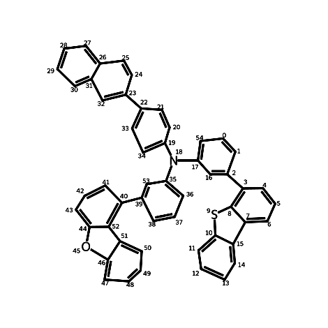 c1cc(-c2cccc3c2sc2ccccc23)cc(N(c2ccc(-c3ccc4ccccc4c3)cc2)c2cccc(-c3cccc4oc5ccccc5c34)c2)c1